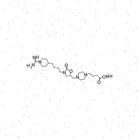 COC(=O)CCCN1CCN(CC2CN(CCCCC3CCN(C(=N)N)CC3)C(=O)O2)CC1